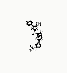 CCc1nc2sc(N3CCC(OC(=O)N(C)C)C3)nn2c1N(C)c1nc(-c2ccc(C)cc2)c(C#N)s1